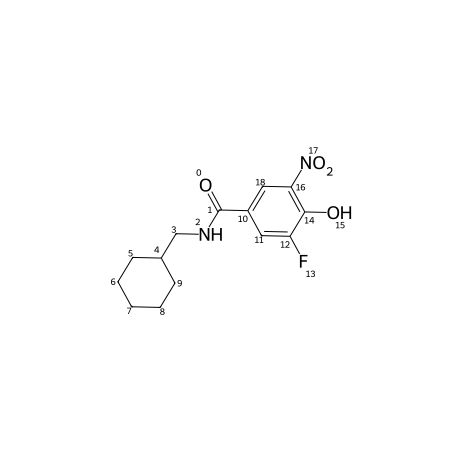 O=C(NCC1CCCCC1)c1cc(F)c(O)c([N+](=O)[O-])c1